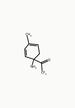 CC1=CCC(N)(C(=O)C(F)(F)F)C=C1